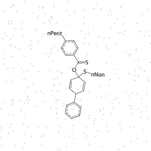 CCCCCCCCCSC1(OC(=S)c2ccc(CCCCC)cc2)C=CC(c2ccccc2)C=C1